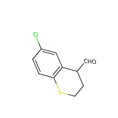 O=CC1CCSc2ccc(Cl)cc21